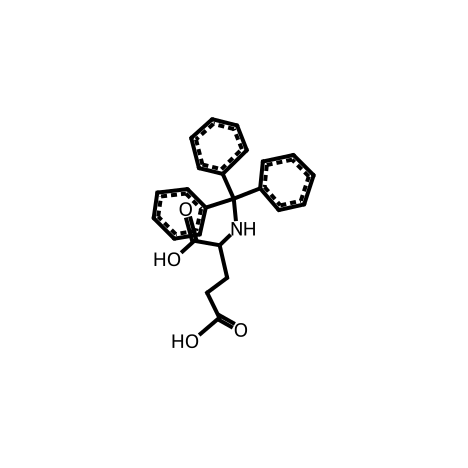 O=C(O)CCC(NC(c1ccccc1)(c1ccccc1)c1ccccc1)C(=O)O